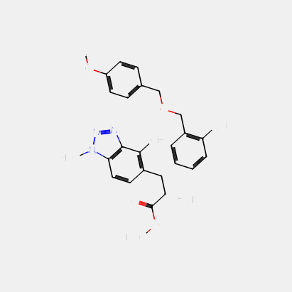 COC(=O)[C@@H](C)[C@@H](c1ccc(C)c(COCc2ccc(OC)cc2)c1)c1ccc2c(nnn2C)c1C